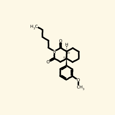 CCCCCN1C(=O)C[C@@]2(c3cccc(OC)c3)CCCC[C@@H]2C1=O